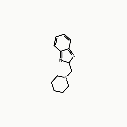 c1ccc2c(c1)=N[C](CN1CCCCC1)N=2